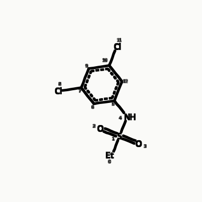 CCS(=O)(=O)Nc1cc(Cl)cc(Cl)c1